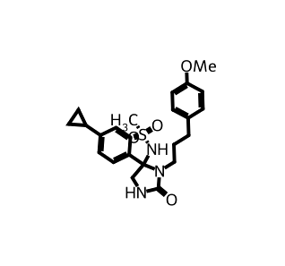 COc1ccc(CCCN2C(=O)NCC2(NS(C)(=O)=O)c2ccc(C3CC3)cc2)cc1